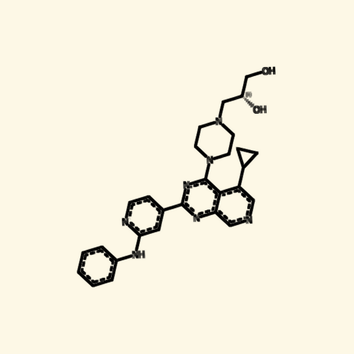 OC[C@H](O)CN1CCN(c2nc(-c3ccnc(Nc4ccccc4)c3)nc3cncc(C4CC4)c23)CC1